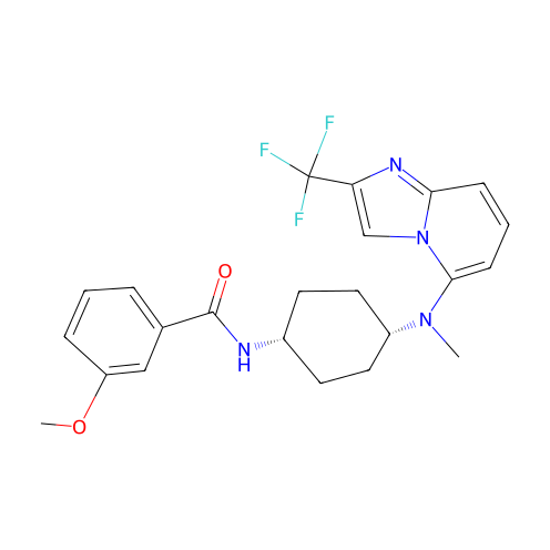 COc1cccc(C(=O)N[C@H]2CC[C@@H](N(C)c3cccc4nc(C(F)(F)F)cn34)CC2)c1